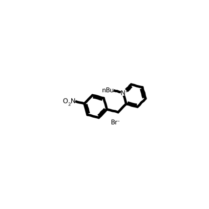 CCCC[n+]1ccccc1Cc1ccc([N+](=O)[O-])cc1.[Br-]